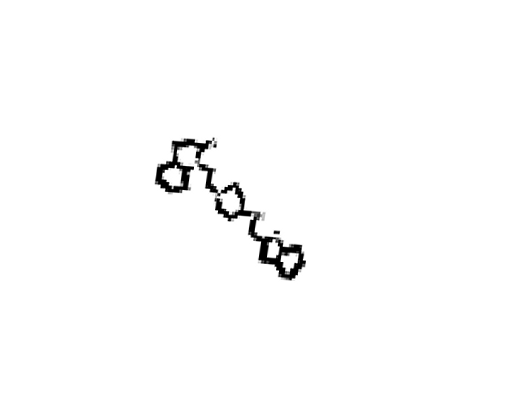 O=c1ccc2ccccc2n1CCN1CCC(NCc2cc3ccccc3o2)CC1